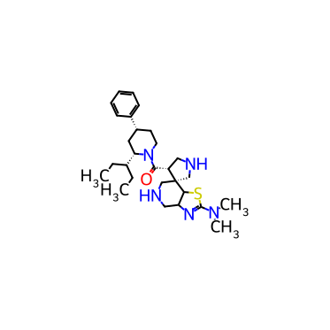 CCC(CC)[C@@H]1C[C@H](c2ccccc2)CCN1C(=O)[C@@H]1CNC[C@]12CNCC1N=C(N(C)C)SC12